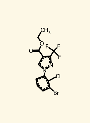 CCOC(=O)c1cn(-c2cccc(Br)c2Cl)nc1C(F)(F)F